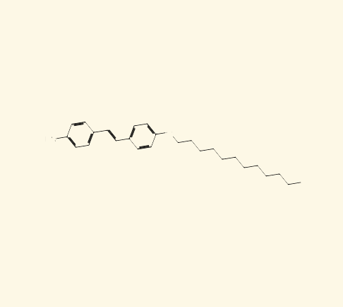 CCCCCCCCCCCCOc1ccc(/C=C/c2ccc(N)cc2)cc1